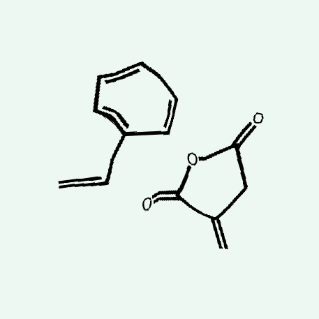 C=C1CC(=O)OC1=O.C=Cc1ccccc1